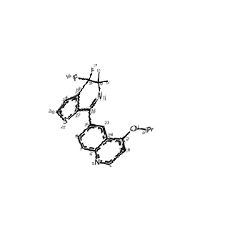 CC(C)Oc1ccnc2ccc(C3=NC(C)(C)C(F)(F)c4ccsc43)cc12